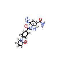 CN(C)C(=O)C1CC(N)C(NC(=O)c2ccc(-n3ccccc3=O)cc2)C1